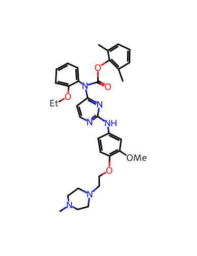 CCOc1ccccc1N(C(=O)Oc1c(C)cccc1C)c1ccnc(Nc2ccc(OCCN3CCN(C)CC3)c(OC)c2)n1